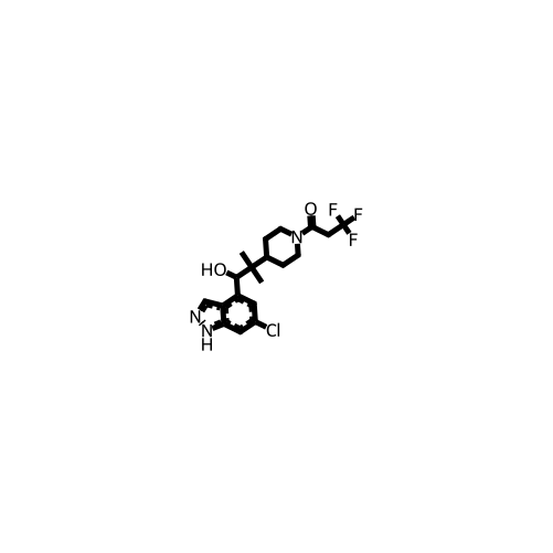 CC(C)(C1CCN(C(=O)CC(F)(F)F)CC1)C(O)c1cc(Cl)cc2[nH]ncc12